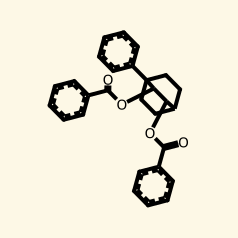 O=C(OC1C2CCC(c3ccccc3)(CC2)C1OC(=O)c1ccccc1)c1ccccc1